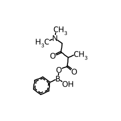 CC(C(=O)CN(C)C)C(=O)OB(O)c1ccccc1